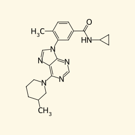 Cc1ccc(C(=O)NC2CC2)cc1-n1cnc2c(N3CCCC(C)C3)ncnc21